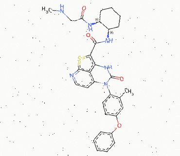 CNCC(=O)N[C@H]1CCCC[C@H]1NC(=O)c1sc2nccc3c2c1NC(=O)N3c1ccc(Oc2ccccc2)cc1C